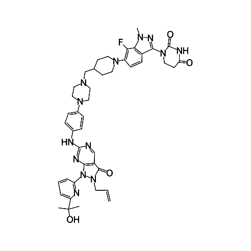 C=CCn1c(=O)c2cnc(Nc3ccc(N4CCN(CC5CCN(c6ccc7c(N8CCC(=O)NC8=O)nn(C)c7c6F)CC5)CC4)cc3)nc2n1-c1cccc(C(C)(C)O)n1